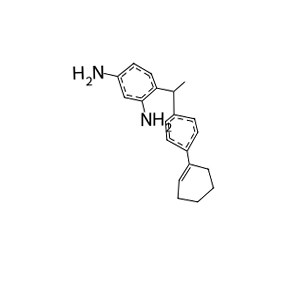 CC(c1ccc(C2=CCCCC2)cc1)c1ccc(N)cc1N